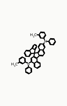 Cc1cccc(N(c2ccccc2)c2ccc3c4c(ccc3c2)-c2c(cc(N(c3ccccc3)c3cccc(C)c3)c3ccccc23)C42c3ccccc3-c3ccccc32)c1